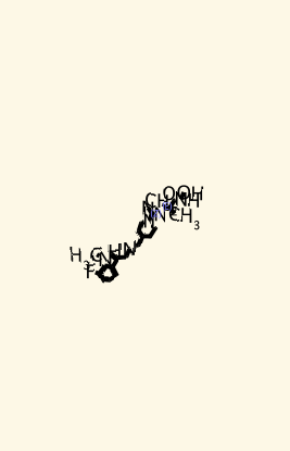 C=N/C(=N\C=C(/C)C(=O)NO)N1CCC(CNCc2cn(C)c3c(F)cccc23)CC1